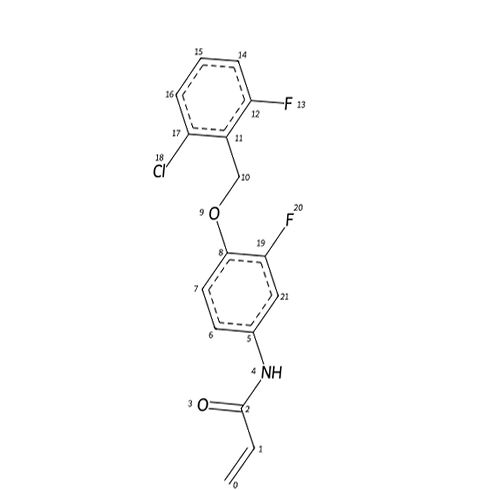 C=CC(=O)Nc1ccc(OCc2c(F)cccc2Cl)c(F)c1